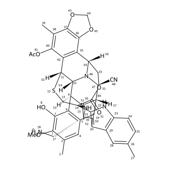 COc1c(C)cc2c(c1O)[C@H]1[C@@H]3[C@@H]4SC[C@]5(N[C@@H](CN)Cc6c5[nH]c5ccc(C)cc65)C(=O)OC[C@@H](c5c6c(c(C)c(OC(C)=O)c54)OCO6)N3[C@@H](C#N)[C@H](C2)N1C